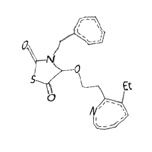 CCc1cccnc1CCOC1C(=O)SC(=O)N1Cc1ccccc1